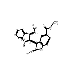 COC(=O)c1ccc2c(c1)/C(=C1/Nc3ccccc3/C1=N\O)C(=O)N2